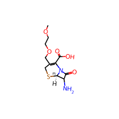 COCCOCC1=C(C(=O)O)N2C(=O)C(N)[C@H]2SC1